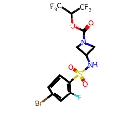 O=C(OC(C(F)(F)F)C(F)(F)F)N1CC(NS(=O)(=O)c2ccc(Br)cc2F)C1